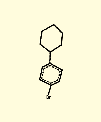 Brc1ccc(C2CCCCC2)cc1